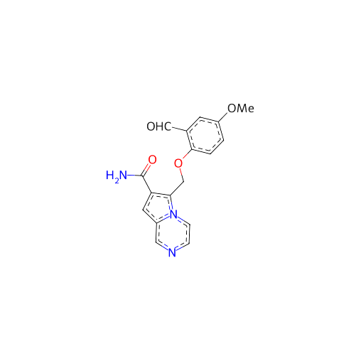 COc1ccc(OCc2c(C(N)=O)cc3cnccn23)c(C=O)c1